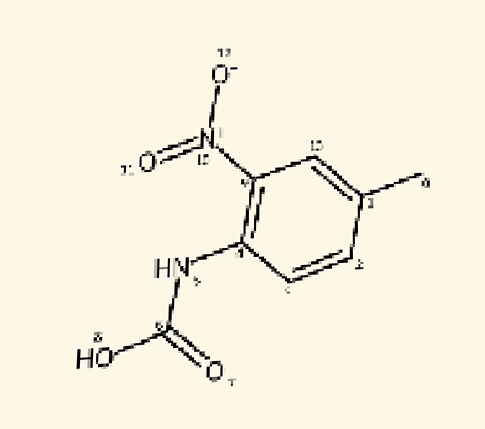 Cc1ccc(NC(=O)O)c([N+](=O)[O-])c1